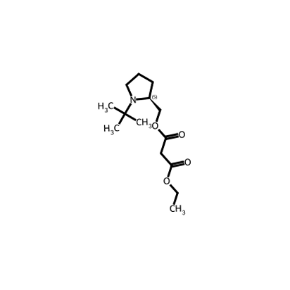 CCOC(=O)CC(=O)OC[C@@H]1CCCN1C(C)(C)C